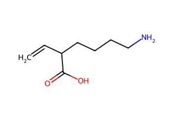 C=CC(CCCCN)C(=O)O